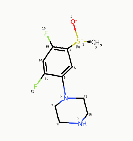 C[S@+]([O-])c1cc(N2CCNCC2)c(F)cc1F